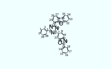 c1ccc(-c2nc(-c3ccc4nc(-c5ccccc5)oc4c3)nc(-c3cccc4c3oc3ccccc34)n2)cc1